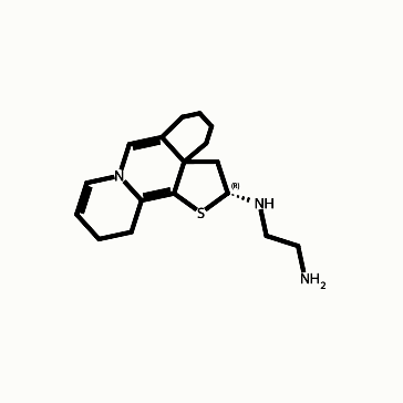 NCCN[C@H]1CC23CCCCC2=CN2C=CCCC2=C3S1